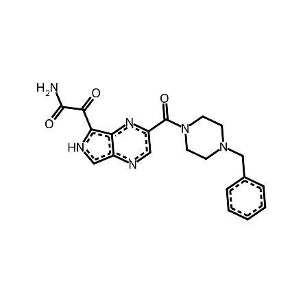 NC(=O)C(=O)c1[nH]cc2ncc(C(=O)N3CCN(Cc4ccccc4)CC3)nc12